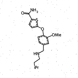 COc1cc(CNCCC(C)C)ccc1Oc1ccc(C(N)=O)s1